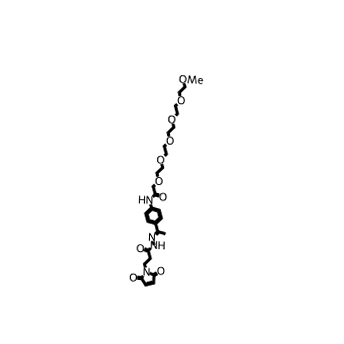 COCCOCCOCCOCCOCCOCC(=O)Nc1ccc(/C(C)=N/NC(=O)CCN2C(=O)C=CC2=O)cc1